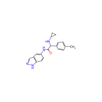 Cc1ccc(C(NC2CC2)C(=O)Nc2ccc3[nH]ncc3c2)cc1